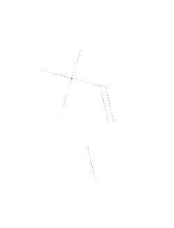 CCC=C(C)C(C)(C)C